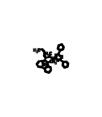 C/C=C\C=C(\C1=C2C=CC=C(N2)c2ccccc2C1C)C(C)Nc1nc(-c2ccccc2)nc(-c2ccccc2)n1